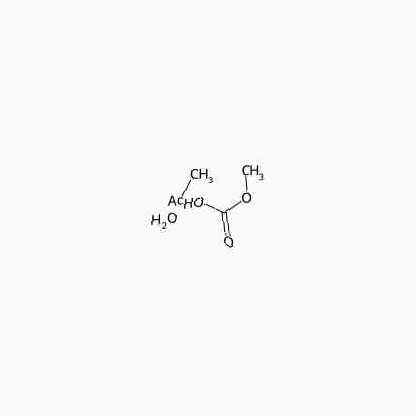 CC(C)=O.COC(=O)O.O